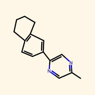 Cc1cnc(-c2ccc3c(c2)CCCC3)cn1